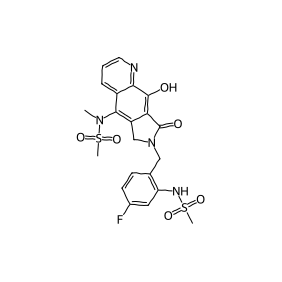 CN(c1c2c(c(O)c3ncccc13)C(=O)N(Cc1ccc(F)cc1NS(C)(=O)=O)C2)S(C)(=O)=O